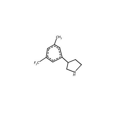 Cc1cc(C2CCNC2)cc(C(F)(F)F)c1